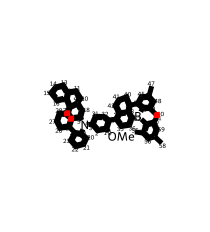 COc1cc(N(c2ccc3c(ccc4ccccc43)c2)c2ccccc2-c2ccccc2)ccc1-c1ccc2c3c(cccc13)-c1cc(C)cc(C)c1B2c1c(C)cc(C)cc1C